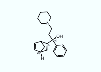 O[C@@](CCN1CCCCC1)(c1ccccc1)[C@H]1C[C@@H]2C=CC1C2